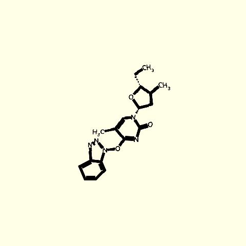 CC[C@H]1O[C@@H](n2cc(C)c(On3nnc4ccccc43)nc2=O)CC1C